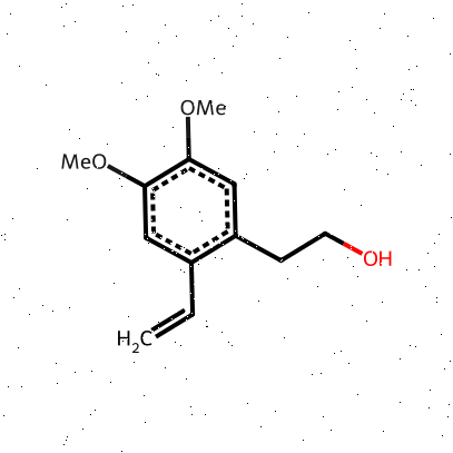 C=Cc1cc(OC)c(OC)cc1CCO